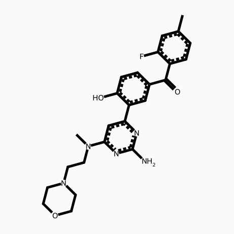 Cc1ccc(C(=O)c2ccc(O)c(-c3cc(N(C)CCN4CCOCC4)nc(N)n3)c2)c(F)c1